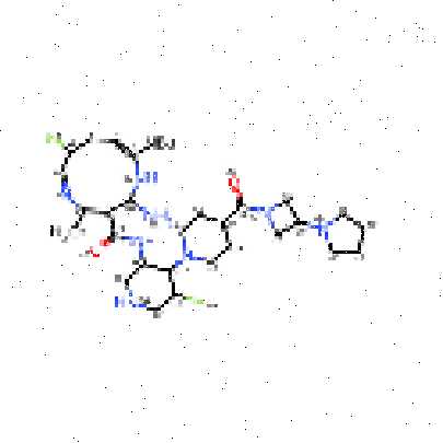 CCC(C)/C1=C/CC(F)/C=N\C(C)C(C(=O)NC2CNCC(F)C2N2CCC(C(=O)N3CC(N4CCCC4)C3)CC2)C(N)N1